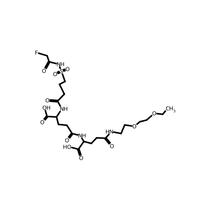 CCOCCOCCNC(=O)CCC(NC(=O)CCC(NC(=O)CCCS(=O)(=O)NC(=O)CF)C(=O)O)C(=O)O